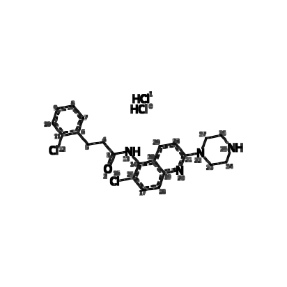 Cl.Cl.O=C(CCc1ccccc1Cl)Nc1c(Cl)ccc2nc(N3CCNCC3)ccc12